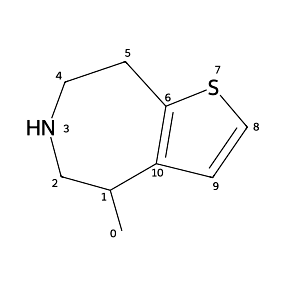 CC1CNCCc2sccc21